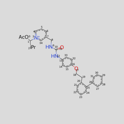 CC(=O)OC(C(C)C)[n+]1cccc(CNC(=O)Nc2ccc(OCCc3ccccc3-c3ccccc3)cc2)c1